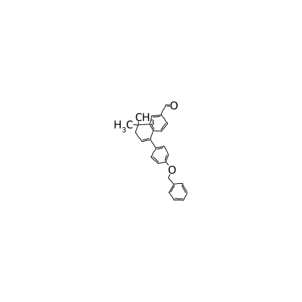 CC1(C)CC=C(c2ccc(OCc3ccccc3)cc2)c2ccc(C=O)cc21